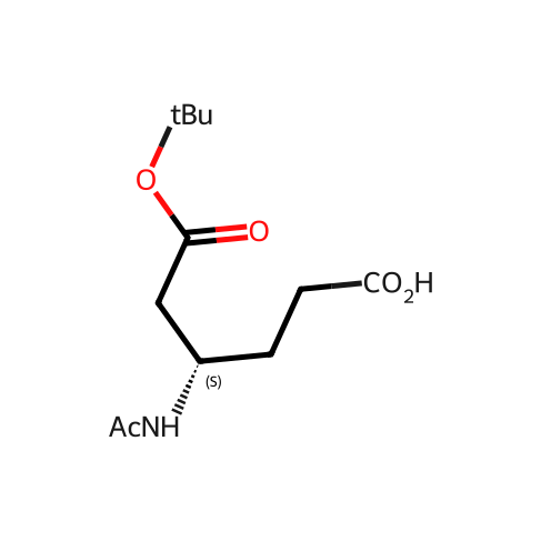 CC(=O)N[C@@H](CCC(=O)O)CC(=O)OC(C)(C)C